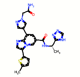 Cc1ccc(-c2cnc3c(-c4cnn(CC(N)=O)c4)cc(C(=O)N[C@@H](C)c4nnc[nH]4)cn23)s1